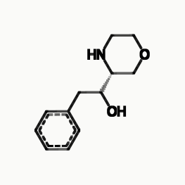 OC(Cc1ccccc1)[C@H]1COCCN1